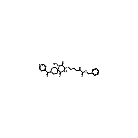 CCCN1C(=O)[C@H](CCCCNC(=O)OCc2ccccc2)NC(=O)C12CCN(C(=O)c1ccncc1)CC2